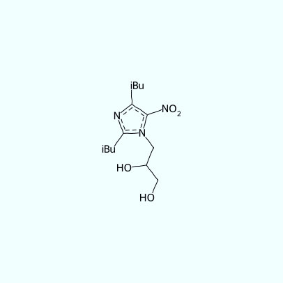 CCC(C)c1nc(C(C)CC)n(CC(O)CO)c1[N+](=O)[O-]